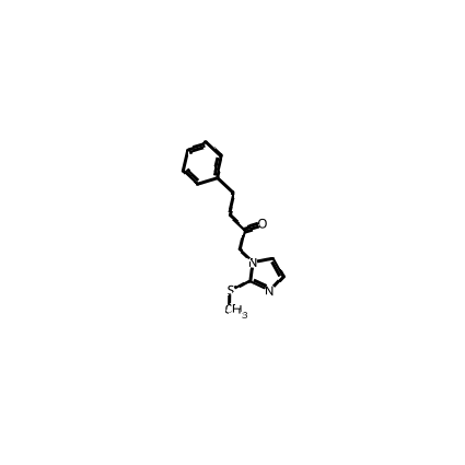 CSc1nccn1CC(=O)CCc1ccccc1